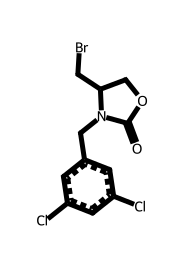 O=C1OCC(CBr)N1Cc1cc(Cl)cc(Cl)c1